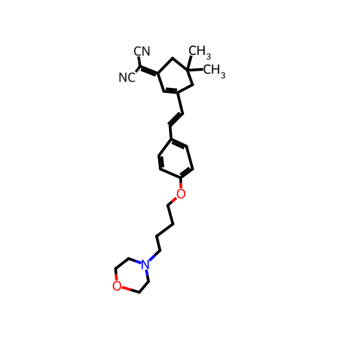 CC1(C)CC(/C=C/c2ccc(OCCCCN3CCOCC3)cc2)=CC(=C(C#N)C#N)C1